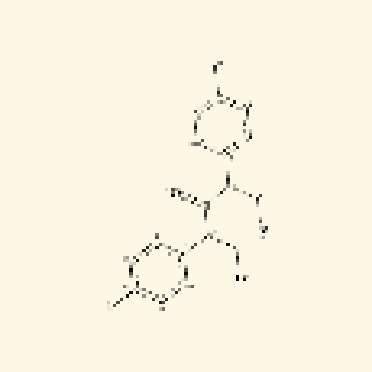 Cc1ccc(C(CBr)C(=O)C(CBr)c2ccc(C)cc2)cc1